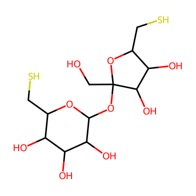 OCC1(OC2OC(CS)C(O)C(O)C2O)OC(CS)C(O)C1O